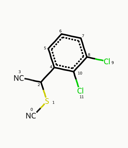 N#CSC(C#N)c1cccc(Cl)c1Cl